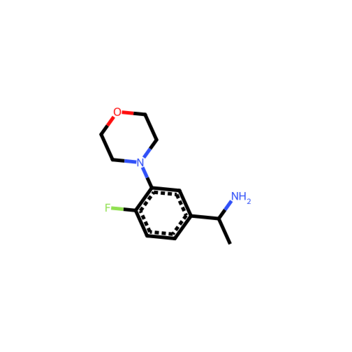 CC(N)c1ccc(F)c(N2CCOCC2)c1